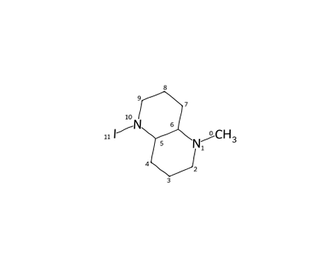 CN1CCCC2C1CCCN2I